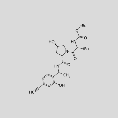 C#Cc1ccc(C(C)NC(=O)[C@@H]2C[C@@H](O)CN2C(=O)C(NC(=O)OC(C)(C)C)C(C)(C)C)c(O)c1